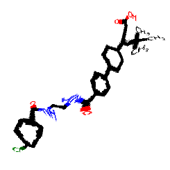 CC(C)(C)C(C(=O)O)C1CCC(c2ccc(C(=O)NCCNC(=O)c3ccc(Cl)cc3)cc2)CC1